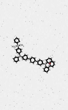 C[Si](C)(c1ccccc1)c1ccc(N(c2ccccc2)c2ccc(-c3ccc(-c4ccc(N(c5ccccc5)c5ccccc5-c5ccccc5)cc4)cc3)cc2)cc1